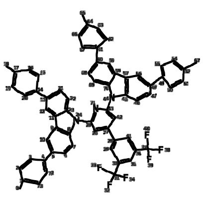 Cc1ccc(-c2ccc3c(c2)c2cc(-c4ccc(C)cc4)ccc2n3-c2cc(-c3cc(C(F)(F)F)cc(C(F)(F)F)c3)cc(-n3c4ccc(-c5ccc(C)cc5)cc4c4cc(-c5ccc(C)cc5)ccc43)n2)cc1